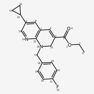 CCOC(=O)C1=Cc2cc(C3CC3)cnc2N(Cc2ccc(F)cc2)C1